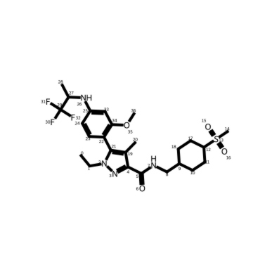 CCn1nc(C(=O)NCC2CCC(S(C)(=O)=O)CC2)c(C)c1-c1ccc(NC(C)C(F)(F)F)cc1OC